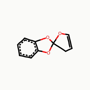 C1=COC2(C1)Oc1ccccc1O2